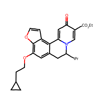 CCOC(=O)c1cn2c(cc1=O)-c1c(cc(OCCC3CC3)c3occc13)CC2C(C)C